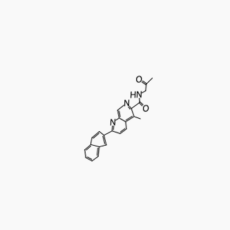 CC(=O)CNC(=O)c1ncc2nc(-c3ccc4ccccc4c3)ccc2c1C